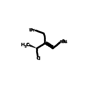 CCCC/C=C(\CC(C)C)[C@@H](C)Cl